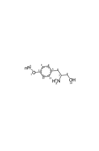 CCCOc1ccc(CC(N)CO)cc1